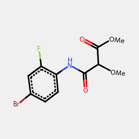 COC(=O)C(OC)C(=O)Nc1ccc(Br)cc1F